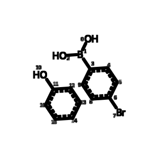 OB(O)c1ccc(Br)cc1.Oc1ccccc1